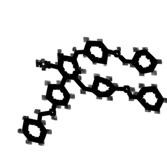 Nc1nc(Cc2ccc(OCc3ccccc3)cc2)nc(Cc2ccc(OCc3ccccc3)cc2)c1-c1ccc(OCc2ccccc2)cc1